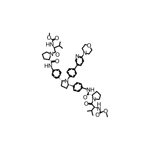 COC(=O)N[C@H](C(=O)N1CCC[C@H]1C(=O)Nc1ccc([C@H]2CC[C@H](c3ccc(NC(=O)[C@@H]4CCCN4C(=O)[C@@H](NC(=O)OC)C(C)C)cc3)N2c2ccc(-c3ccc(N4CCOCC4)nc3)cc2)cc1)C(C)C